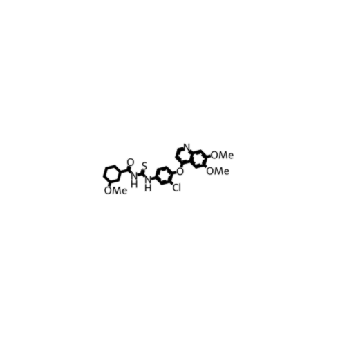 COc1cc2nccc(Oc3ccc(NC(=S)NC(=O)C4CCCC(OC)C4)cc3Cl)c2cc1OC